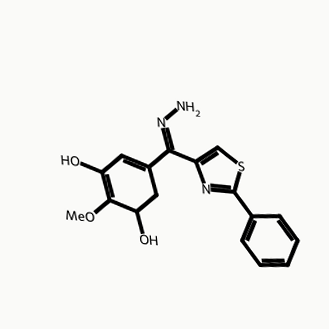 COC1=C(O)C=C(C(=NN)c2csc(-c3ccccc3)n2)CC1O